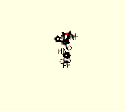 CC(C)N1c2c(-c3ccn[nH]3)cc(C(=O)Nc3ccc(OC(F)(F)Cl)cc3)cc2C2CCCC21